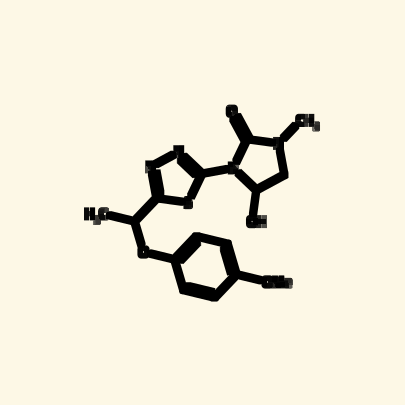 COc1ccc(OC(C)c2nnc(N3C(=O)N(C)CC3O)s2)cc1